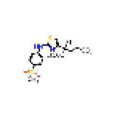 CCOC(=O)C(CC)(CCC(=O)O)c1csc(Nc2ccc(S(C)(=O)=O)cc2)n1